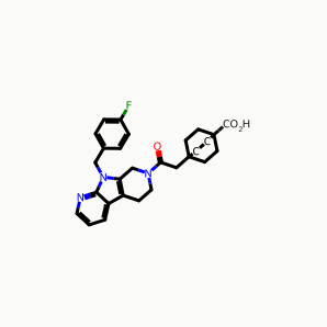 O=C(CC12CCC(C(=O)O)(CC1)CC2)N1CCc2c(n(Cc3ccc(F)cc3)c3ncccc23)C1